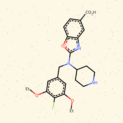 CCOc1cc(CN(c2nc3cc(C(=O)O)ccc3o2)C2CCNCC2)cc(OCC)c1F